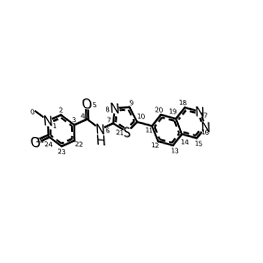 Cn1cc(C(=O)Nc2ncc(-c3ccc4cnncc4c3)s2)ccc1=O